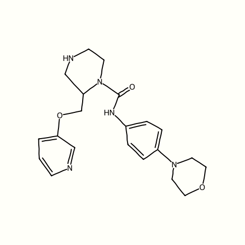 O=C(Nc1ccc(N2CCOCC2)cc1)N1CCNCC1COc1cccnc1